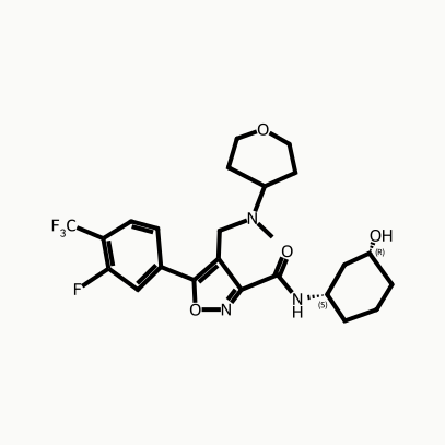 CN(Cc1c(C(=O)N[C@H]2CCC[C@@H](O)C2)noc1-c1ccc(C(F)(F)F)c(F)c1)C1CCOCC1